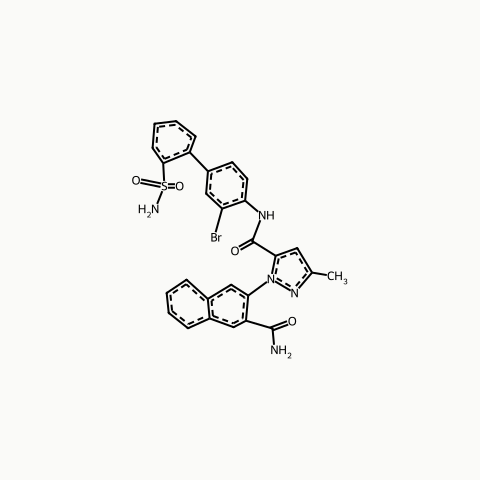 Cc1cc(C(=O)Nc2ccc(-c3ccccc3S(N)(=O)=O)cc2Br)n(-c2cc3ccccc3cc2C(N)=O)n1